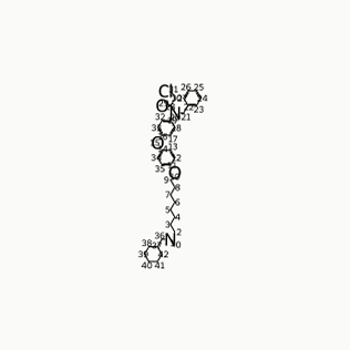 CN(CCCCCCCCOc1ccc(Oc2ccc(N(Cc3ccccc3)C(=O)CCl)cc2)cc1)CC1CCCCC1